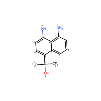 Nc1cccc2c(C(O)(C(F)(F)F)C(F)(F)F)ccc(N)c12